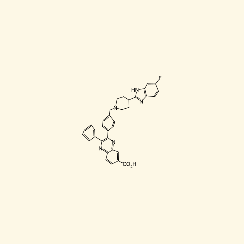 O=C(O)c1ccc2nc(-c3ccccc3)c(-c3ccc(CN4CCC(c5nc6ccc(F)cc6[nH]5)CC4)cc3)nc2c1